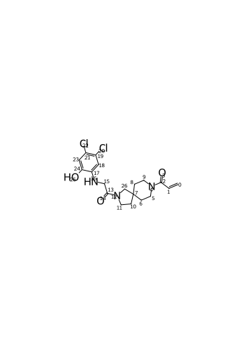 C=CC(=O)N1CCC2(CC1)CCN(C(=O)CNc1cc(Cl)c(Cl)cc1O)C2